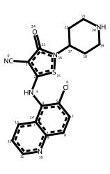 N#Cc1c(Nc2c(Cl)ccc3ncccc23)sn(C2CCNCC2)c1=O